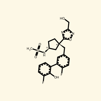 CS(=O)(=O)N[C@H]1CC[C@](Cc2ccc(F)c(-c3cccc(F)c3O)c2)(c2nc(CO)no2)C1